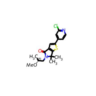 CO[C@H](C)CN1C(=O)c2cc(-c3ccnc(Cl)c3)sc2C1(C)C